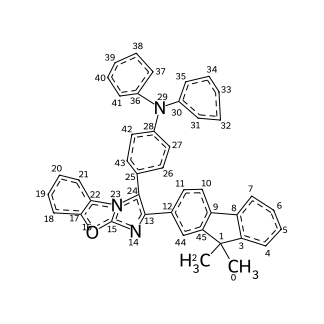 CC1(C)c2ccccc2-c2ccc(-c3nc4oc5ccccc5n4c3-c3ccc(N(c4ccccc4)c4ccccc4)cc3)cc21